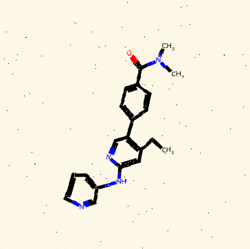 CCc1cc(Nc2cccnc2)ncc1-c1ccc(C(=O)N(C)C)cc1